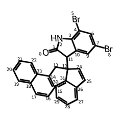 O=C1Nc2c(Br)cc(Br)cc2C1C1(Cc2cccc3ccccc23)C=Cc2ccccc21